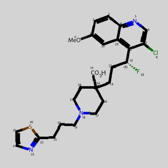 COc1ccc2ncc(Cl)c([C@H](F)CCC3(C(=O)O)CCN(CCCc4nccs4)CC3)c2c1